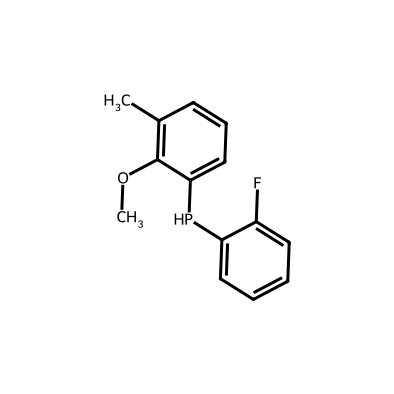 COc1c(C)cccc1Pc1ccccc1F